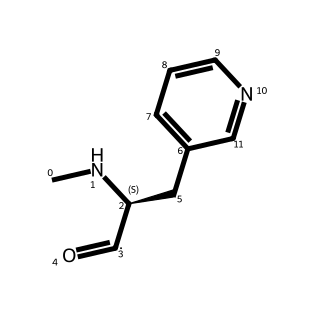 CN[C@H]([C]=O)Cc1cccnc1